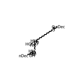 CCCCCCCCCCCC(=O)OCCCCCCCCCCCCCC(=O)N[C@@H](CCO)C(=O)NCCC[C@H](CO)NC(=O)C[C@H](O)CCCCCCCCCCC